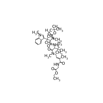 CCOC(=O)CNC(=O)/C(C)=C/CN(C)C(=O)C(NC(=O)C(N(C)C(=O)OC(C)(C)C)C(C)(C)c1cn(C)c2ccccc12)C(C)(C)C